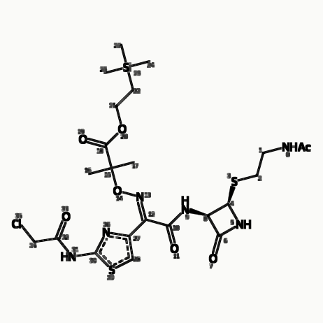 CC(=O)NCCS[C@H]1NC(=O)[C@H]1NC(=O)/C(=N/OC(C)(C)C(=O)OCC[Si](C)(C)C)c1csc(NC(=O)CCl)n1